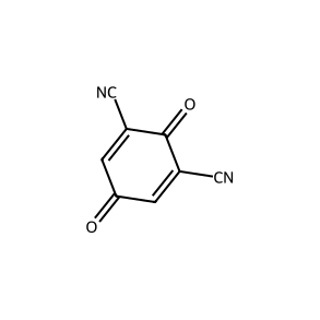 N#CC1=CC(=O)C=C(C#N)C1=O